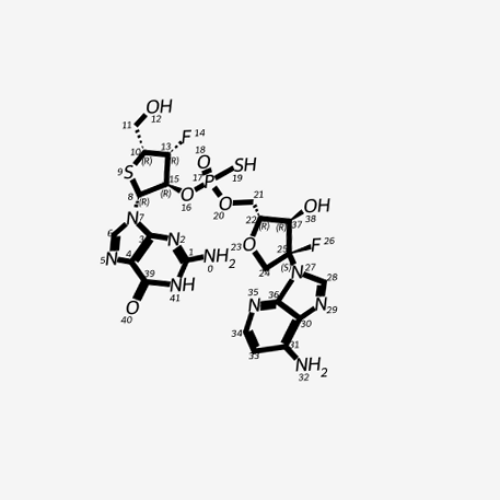 Nc1nc2c(ncn2[C@@H]2S[C@H](CO)[C@H](F)[C@H]2OP(=O)(S)OC[C@H]2OC[C@@](F)(n3cnc4c(N)ccnc43)[C@@H]2O)c(=O)[nH]1